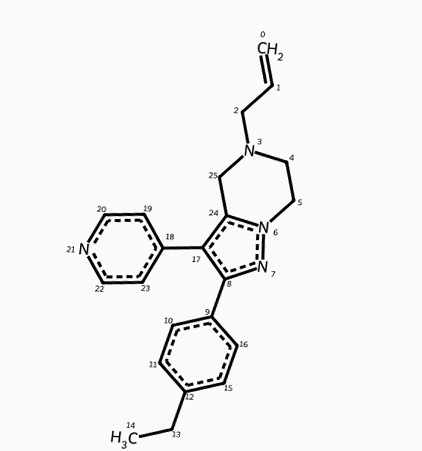 C=CCN1CCn2nc(-c3ccc(CC)cc3)c(-c3ccncc3)c2C1